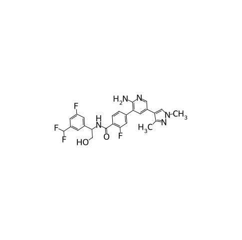 Cc1nn(C)cc1-c1cnc(N)c(-c2ccc(C(=O)NC(CO)c3cc(F)cc(C(F)F)c3)c(F)c2)c1